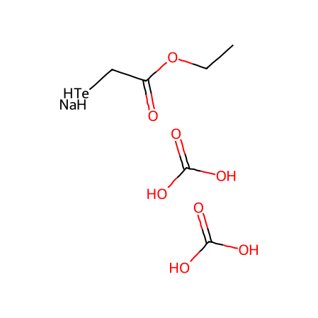 CCOC(=O)C[TeH].O=C(O)O.O=C(O)O.[NaH]